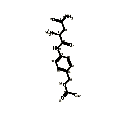 NC(=O)C[C@H](N)C(=O)Nc1ccc(COC(=O)Cl)cc1